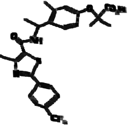 CCOC(=O)C(C)(C)Oc1ccc(C(C)NC(=O)c2sc(-c3ccc(C(F)(F)F)cc3)nc2C)c(C)c1